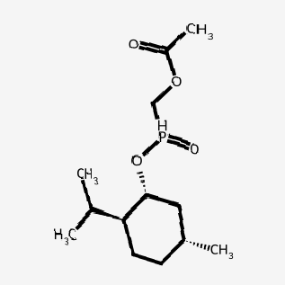 CC(=O)OC[PH](=O)O[C@@H]1C[C@H](C)CC[C@H]1C(C)C